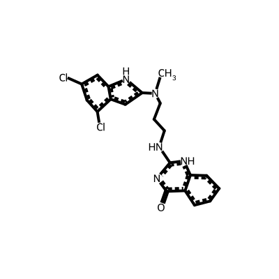 CN(CCCNc1nc(=O)c2ccccc2[nH]1)c1cc2c(Cl)cc(Cl)cc2[nH]1